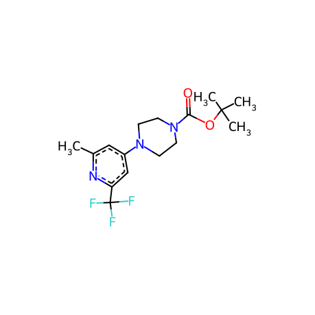 Cc1cc(N2CCN(C(=O)OC(C)(C)C)CC2)cc(C(F)(F)F)n1